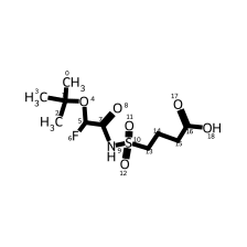 CC(C)(C)OC(F)C(=O)NS(=O)(=O)CCCC(=O)O